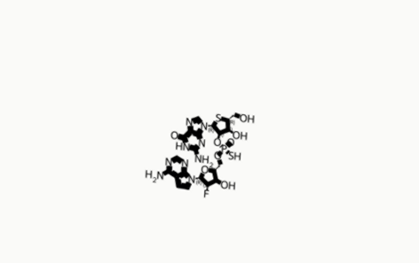 Nc1nc2c(ncn2[C@@H]2S[C@H](CO)[C@@H](O)[C@H]2OP(=O)(S)OC[C@H]2O[C@@H](n3ccc4c(N)ncnc43)[C@@H](F)C2O)c(=O)[nH]1